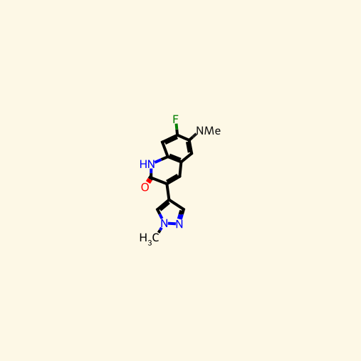 CNc1cc2cc(-c3cnn(C)c3)c(=O)[nH]c2cc1F